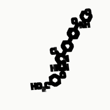 O=C(NC1CCOCC1)c1ccc(C2=CC=C(c3nc4nc(O[C@H]5CC[C@H](C(=O)O)CC5)[nH]c4cc3Cl)CC2)cc1